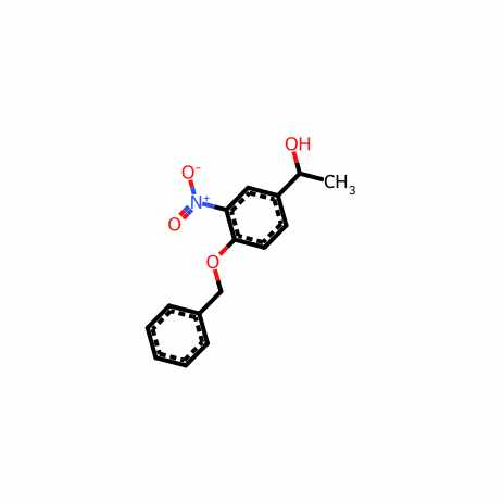 CC(O)c1ccc(OCc2ccccc2)c([N+](=O)[O-])c1